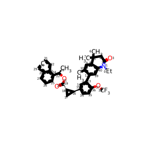 CCN1C(=O)CC(C)(C)c2cc(C)c(-c3cc([C@H]4C[C@@H]4C(=O)O[C@H](C)c4cccc5ccccc45)ccc3OC(F)(F)F)cc21